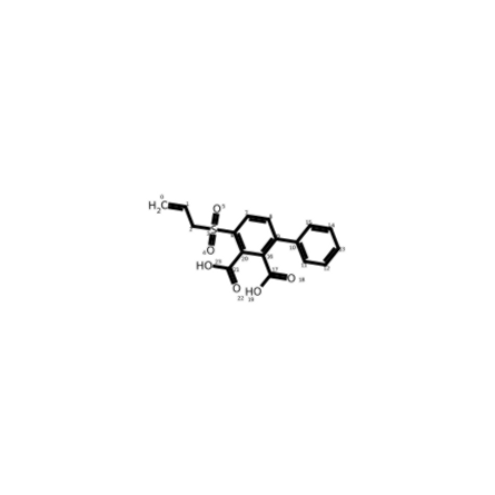 C=CCS(=O)(=O)c1ccc(-c2ccccc2)c(C(=O)O)c1C(=O)O